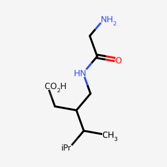 CC(C)C(C)C(CNC(=O)CN)CC(=O)O